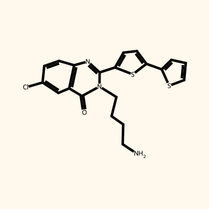 NCCCCn1c(-c2ccc(-c3cccs3)s2)nc2ccc(Cl)cc2c1=O